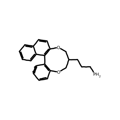 PCCCC1COc2ccc3ccccc3c2-c2c(ccc3ccccc23)OC1